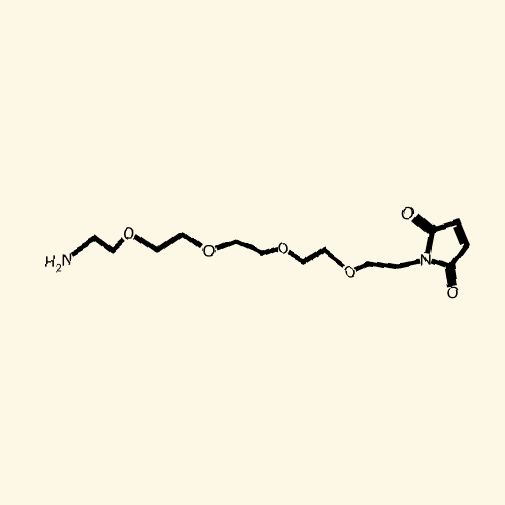 NCCOCCOCCOCCOCCN1C(=O)C=CC1=O